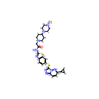 CCN1CCN(C2CCN(CC(=O)Nc3nc4ccc(Sc5nnc6ccc(C7CC7)nn56)cc4s3)CC2)CC1